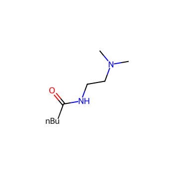 CCCCC(=O)NCCN(C)C